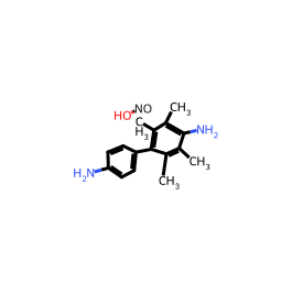 Cc1c(C)c(-c2ccc(N)cc2)c(C)c(C)c1N.O=NO